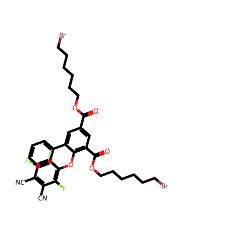 N#Cc1c(F)c(F)c(Oc2c(C(=O)OCCCCCCBr)cc(C(=O)OCCCCCCBr)cc2-c2ccccc2)c(F)c1C#N